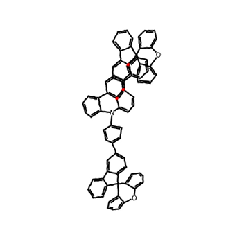 c1ccc(-c2ccc(-c3ccccc3N(c3ccc(-c4ccc5c(c4)-c4ccccc4C54c5ccccc5Oc5ccccc54)cc3)c3cccc(-c4ccc5c(c4)C4(c6ccccc6Oc6ccccc64)c4ccccc4-5)c3)cc2)cc1